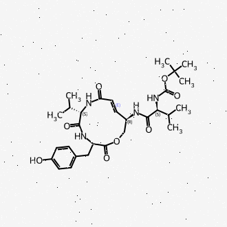 CC(C)[C@@H]1NC(=O)/C=C/[C@@H](NC(=O)[C@@H](NC(=O)OC(C)(C)C)C(C)C)COC(=O)C(Cc2ccc(O)cc2)NC1=O